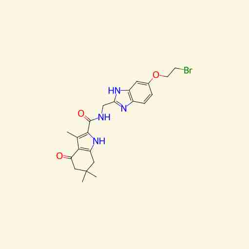 Cc1c(C(=O)NCc2nc3ccc(OCCBr)cc3[nH]2)[nH]c2c1C(=O)CC(C)(C)C2